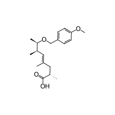 COc1ccc(CO[C@H](C)[C@H](C)/C=C(\C)C[C@H](C)C(=O)O)cc1